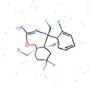 NC1=N[C@](CF)(c2ccccc2F)[C@H]2CC(F)(F)C[C@@]2(CF)O1